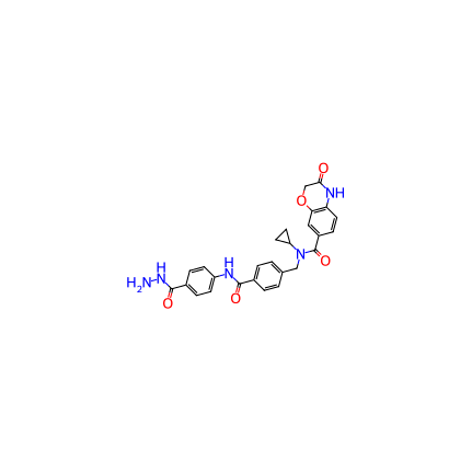 NNC(=O)c1ccc(NC(=O)c2ccc(CN(C(=O)c3ccc4c(c3)OCC(=O)N4)C3CC3)cc2)cc1